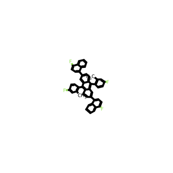 Cc1cc(F)ccc1-c1c2ccc(-c3ccc(F)c4ccccc34)cc2c(-c2ccc(F)cc2C)c2ccc(-c3ccc(F)c4ccccc34)cc12